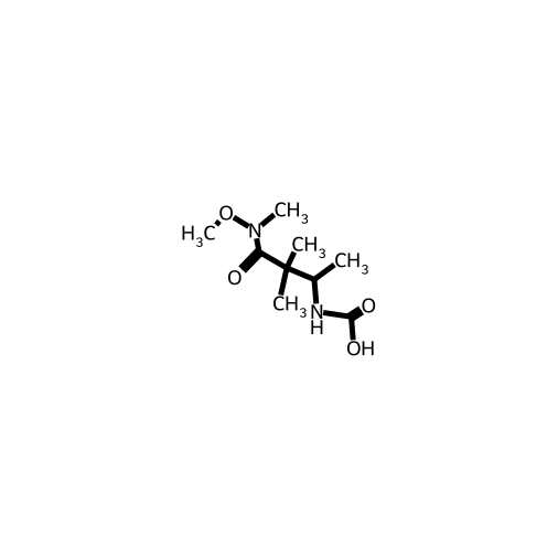 CON(C)C(=O)C(C)(C)C(C)NC(=O)O